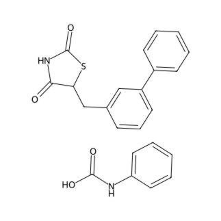 O=C(O)Nc1ccccc1.O=C1NC(=O)C(Cc2cccc(-c3ccccc3)c2)S1